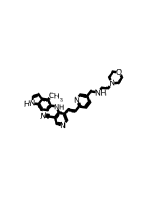 Cc1c(Nc2c(C#N)cncc2C=Cc2ccc(CNCCN3CCOCC3)cn2)ccc2[nH]ccc12